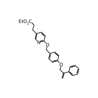 C=C(COc1ccc(COc2ccc(CCC(=O)OCC)cn2)cc1)c1ccccc1